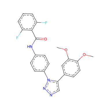 COc1ccc(-c2cnnn2-c2ccc(NC(=O)c3c(F)cccc3F)cc2)cc1OC